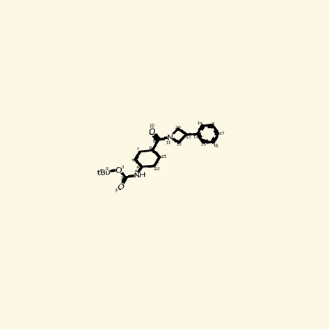 CC(C)(C)OC(=O)NC1CCC(C(=O)N2CC(c3ccccc3)C2)CC1